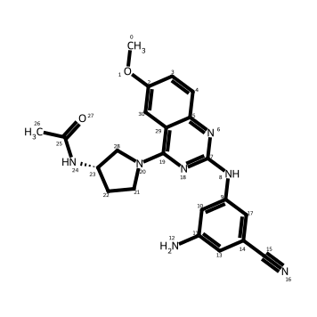 COc1ccc2nc(Nc3cc(N)cc(C#N)c3)nc(N3CC[C@H](NC(C)=O)C3)c2c1